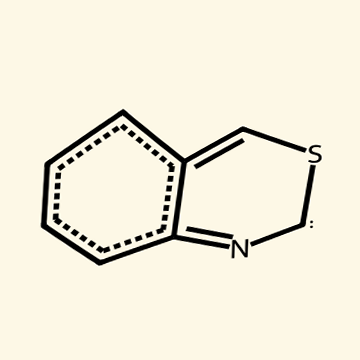 [C]1N=c2ccccc2=CS1